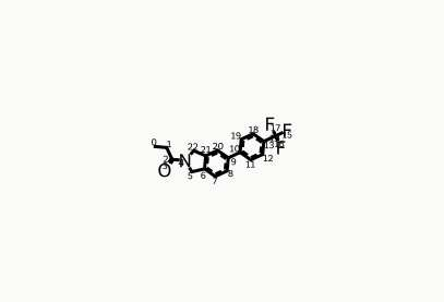 CCC(=O)N1Cc2ccc(-c3ccc(C(F)(F)F)cc3)cc2C1